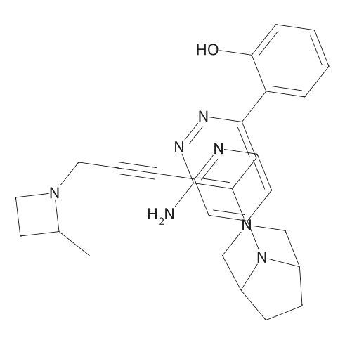 CC1CCN1CC#Cc1cc(N2C3CCC2CN(c2cc(-c4ccccc4O)nnc2N)C3)ccn1